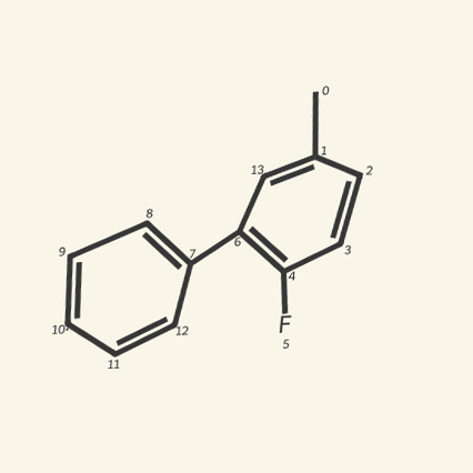 Cc1ccc(F)c(-c2cc[c]cc2)c1